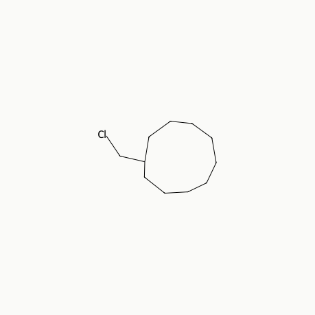 ClCC1CCCCCCCCC1